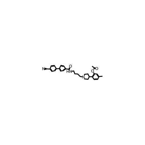 CC(=O)Oc1cc(C)ccc1C1CCN(CCCCNC(=O)c2ccc(-c3ccc(C#N)cc3)cc2)CC1